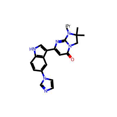 CC(C)N1c2nc(-c3c[nH]c4ccc(-n5ccnc5)cc34)cc(=O)n2CC1(C)C